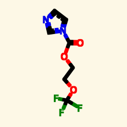 O=C(OCCOC(F)(F)F)n1ccnc1